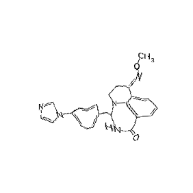 CO/N=C1\CCN2c3c(cccc31)C(=O)NC2c1ccc(-n2ccnc2)cc1